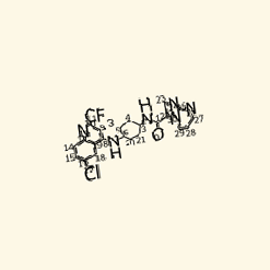 O=C(NC1CCC(Nc2cc(C(F)(F)F)nc3ccc(Cl)cc23)CC1)c1cnc2ncccn12